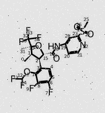 C[C@@H]1[C@H](c2ccc(F)c(F)c2OC(F)F)[C@@H](C(=O)Nc2ccnc(S(C)(=O)=O)c2)O[C@]1(C)C(F)(F)F